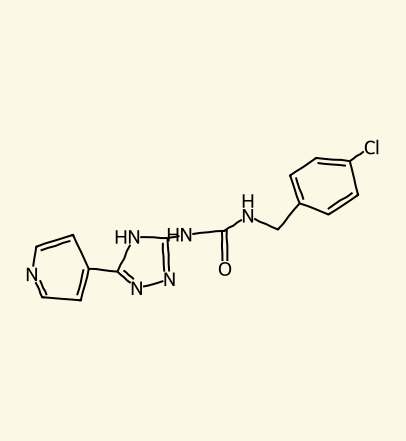 O=C(NCc1ccc(Cl)cc1)Nc1nnc(-c2ccncc2)[nH]1